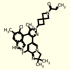 C=CC(=O)N1CC2(CC(n3nc(C4=CN5CC(C)(C)N=C5C(F)=C4)c(-c4c(Cl)c(C)cc5[nH]ncc45)c3C)C2)C1